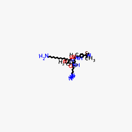 Cc1ncsc1-c1ccc([C@H](C)NC(=O)[C@@H]2C[C@@H](NC(=O)CCCCN=[N+]=[N-])CN2C(=O)[C@@H](CC(=O)CCCCCCCCCCN)C(C)(C)C)cc1